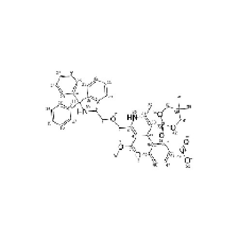 COC(=O)C1=C(COCCNC(c2ccccc2)(c2ccccc2)c2ccccc2)NC(C)=C(P2(=O)OCC(C)(C)CO2)C1c1cccc([N+](=O)[O-])c1